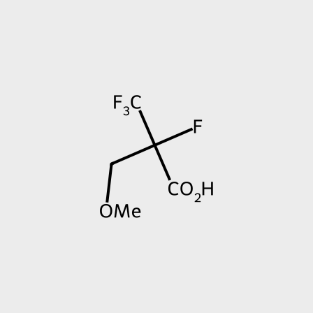 COCC(F)(C(=O)O)C(F)(F)F